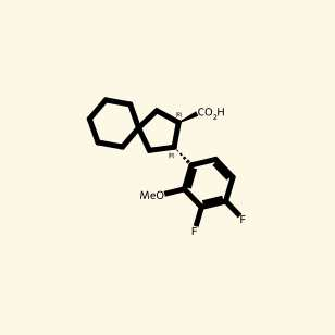 COc1c([C@@H]2CC3(CCCCC3)C[C@H]2C(=O)O)ccc(F)c1F